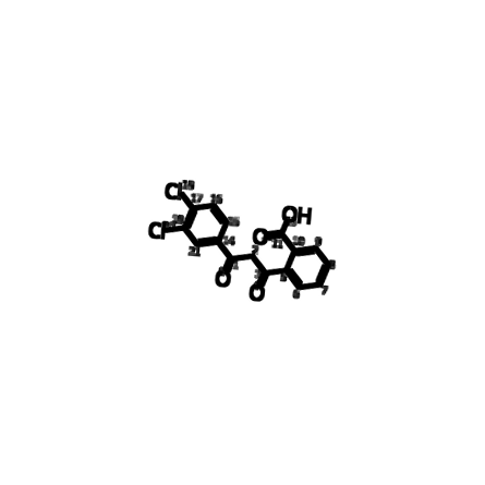 O=C(CC(=O)c1ccccc1C(=O)O)c1ccc(Cl)c(Cl)c1